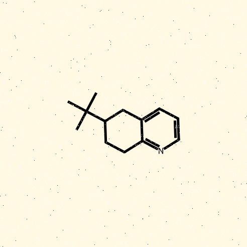 CC(C)(C)C1CCc2ncccc2C1